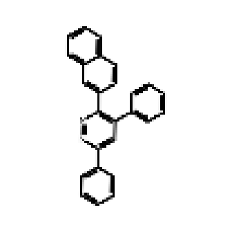 c1ccc(-c2cc(-c3ccccc3)c(-c3ccc4ccccc4c3)nn2)cc1